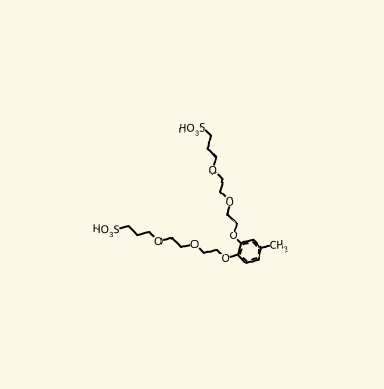 Cc1ccc(OCCOCCOCCCS(=O)(=O)O)c(OCCOCCOCCCS(=O)(=O)O)c1